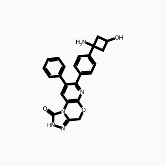 NC1(c2ccc(-c3nc4c(cc3-c3ccccc3)-n3c(n[nH]c3=O)CO4)cc2)CC(O)C1